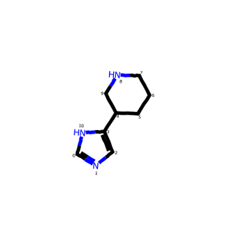 c1ncc(C2CCCNC2)[nH]1